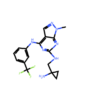 Cn1ncc2c(Nc3cccc(C(F)(F)F)c3)nc(NCC3(N)CC3)nc21